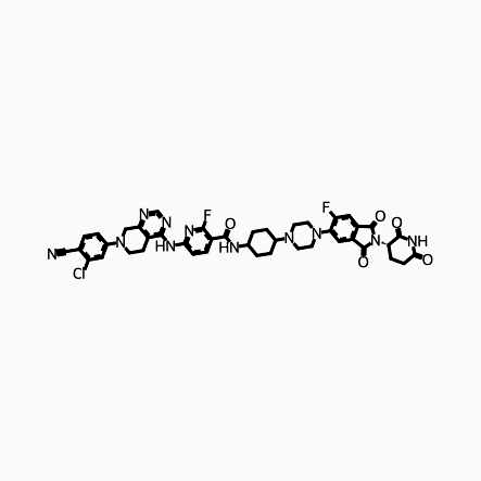 N#Cc1ccc(N2CCc3c(ncnc3Nc3ccc(C(=O)NC4CCC(N5CCN(c6cc7c(cc6F)C(=O)N([C@H]6CCC(=O)NC6=O)C7=O)CC5)CC4)c(F)n3)C2)cc1Cl